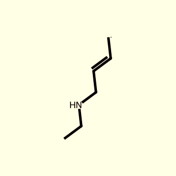 [CH2]C=CCNCC